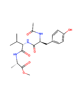 COC(=O)[C@H](C)NC(=O)[C@@H](NC(=O)[C@H](Cc1ccc(O)cc1)NC(C)=O)C(C)C